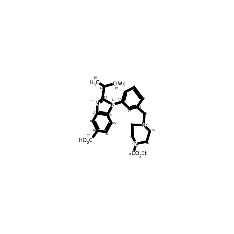 CCOC(=O)N1CCN(Cc2cccc(-n3c(C(C)OC)nc4cc(C(=O)O)ccc43)c2)CC1